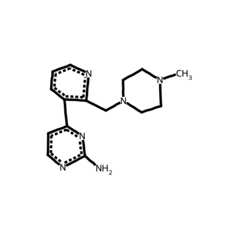 CN1CCN(Cc2ncccc2-c2ccnc(N)n2)CC1